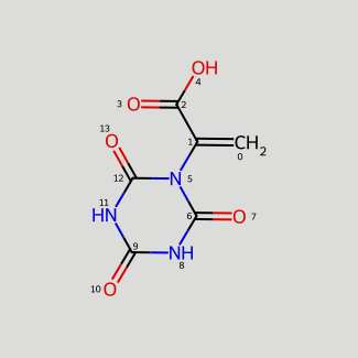 C=C(C(=O)O)n1c(=O)[nH]c(=O)[nH]c1=O